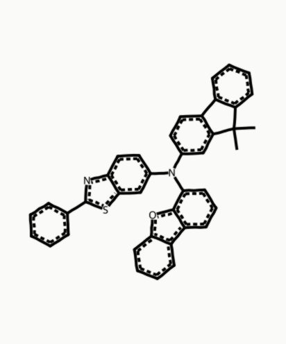 CC1(C)c2ccccc2-c2ccc(N(c3ccc4nc(-c5ccccc5)sc4c3)c3cccc4c3oc3ccccc34)cc21